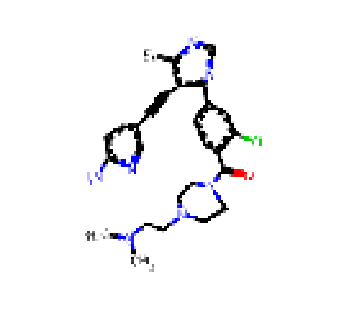 CCc1ncnc(-c2ccc(C(=O)N3CCN(CCN(C)C)CC3)c(Cl)c2)c1C#Cc1ccc(N)nc1